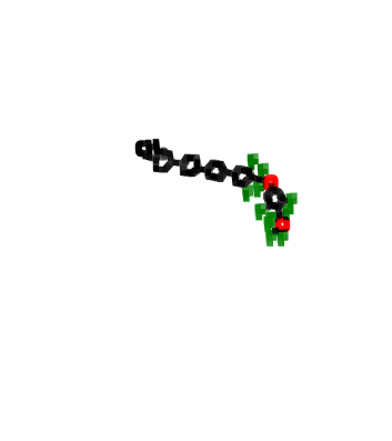 CCC1CCC(c2ccc(-c3ccc(-c4cc(F)c(C(F)(F)Oc5cc(F)c(C(F)(F)OC(F)(F)F)c(F)c5)c(F)c4)cc3)cc2)CC1